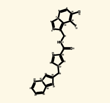 O=C(NCc1ncn2ccc(Cl)c(F)c12)c1cn(Cc2cn3ncccc3n2)cn1